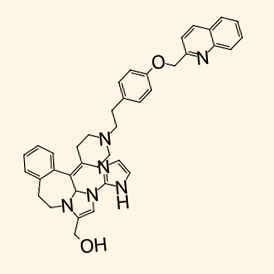 OCC1=CN(c2ncc[nH]2)C2C(=C3CCN(CCc4ccc(OCc5ccc6ccccc6n5)cc4)CC3)c3ccccc3CCN12